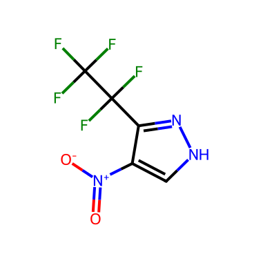 O=[N+]([O-])c1c[nH]nc1C(F)(F)C(F)(F)F